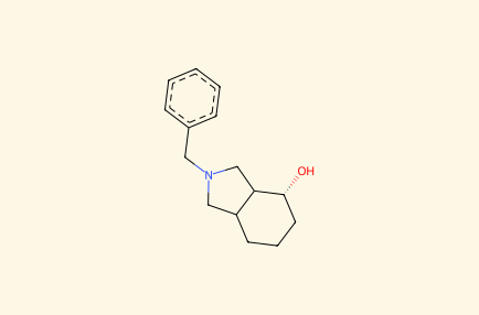 O[C@@H]1CCCC2CN(Cc3ccccc3)CC21